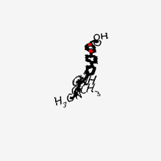 CCc1nc(C)c(C(=O)Nc2ccc(-c3ccc(C45CCC(CC(=O)O)(CC4)OC5)cc3)cc2)o1